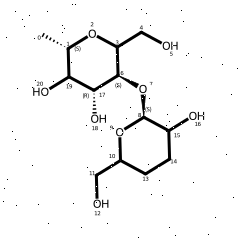 C[C@@H]1OC(CO)[C@@H](O[C@@H]2OC(CO)CCC2O)[C@H](O)C1O